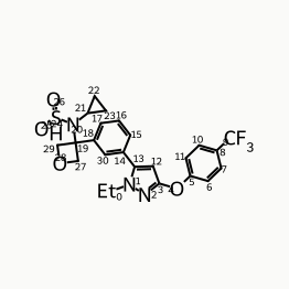 CCn1nc(Oc2ccc(C(F)(F)F)cc2)cc1-c1cccc(C2(N(C3CC3)[SH](=O)=O)COC2)c1